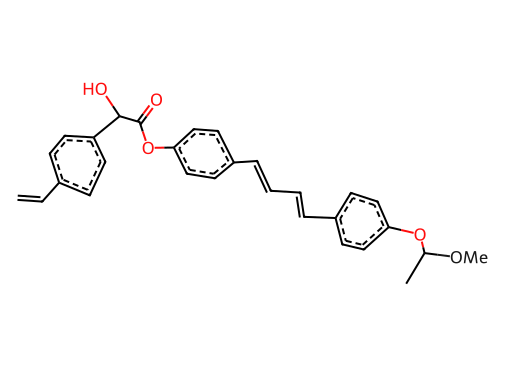 C=Cc1ccc(C(O)C(=O)Oc2ccc(C=CC=Cc3ccc(OC(C)OC)cc3)cc2)cc1